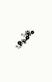 C=Nc1ccccc1SCC(=O)NCc1ccc(-c2nn(C3CCCC3)c3ncnc(N)c23)cc1